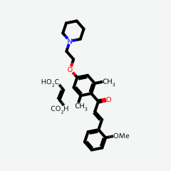 COc1ccccc1C=CC(=O)c1c(C)cc(OCCN2CCCCC2)cc1C.O=C(O)C=CC(=O)O